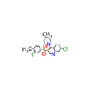 Cc1ccc(S(=O)(=O)c2cnc3cc(Cl)ccc3c2N2CCC(C)CC2)cc1F